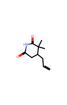 C=CCC1CC(=O)NC(=O)C1(C)C